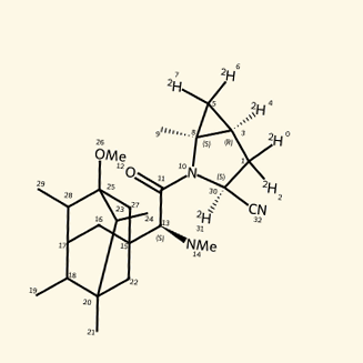 [2H]C1([2H])[C@]2([2H])C([2H])([2H])[C@]2(C)N(C(=O)[C@@H](NC)C23CC4C(C)C(C)(C2)C(C)C(OC)(C3)C4C)[C@]1([2H])C#N